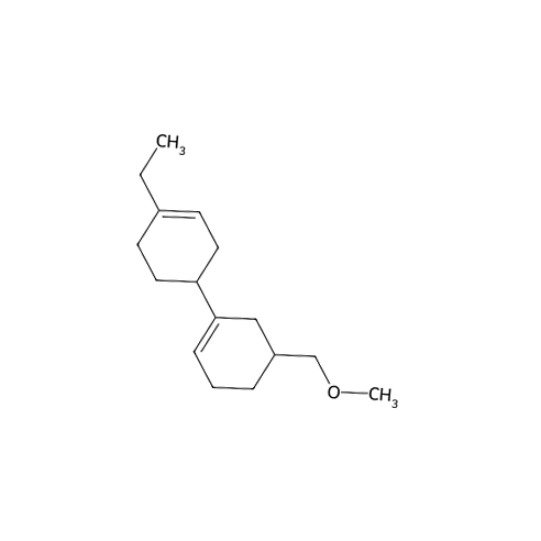 CCC1=CCC(C2=CCCC(COC)C2)CC1